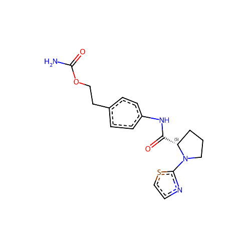 NC(=O)OCCc1ccc(NC(=O)[C@@H]2CCCN2c2nccs2)cc1